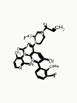 C=CC(=O)N1CCN(c2nc(=O)n(-c3c(C)ccnc3C(C)C)c3nc(-c4cccc(F)c4OC)c(C#N)cc23)C(C)C1